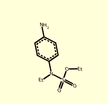 CCOS(=O)(=O)N(CC)c1ccc(N)cc1